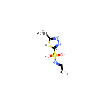 C/C=N/S(=O)(=O)c1nnc(NC(C)=O)s1